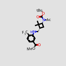 COC(=O)c1ccc(C(F)(F)F)c(NC[C@H]2C[C@@H](N(C(C)=O)C(=O)OC(C)(C)C)C2(C)C)c1